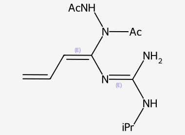 C=C/C=C(\N=C(/N)NC(C)C)N(NC(C)=O)C(C)=O